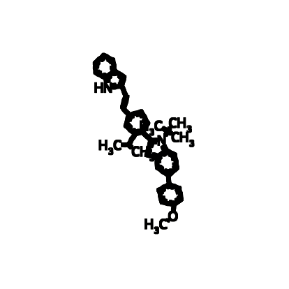 COc1ccc(-c2ccc3c(c2)cc(-c2ccc(C=Cc4cc5ccccc5[nH]4)cc2C(C)C)n3C(C)(C)C)cc1